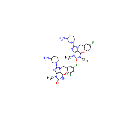 Cn1c(=O)[nH]c(=O)c2c1nc(N1CCCC(N)C1)n2Cc1cc(F)cc(F)c1.Cn1c(=O)c2c(nc(N3CCCC(N)C3)n2Cc2cccc(F)c2)n(C)c1=O